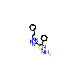 Nc1nc(-c2ccccc2)c(-c2nnn(C=Cc3ccccc3)n2)s1